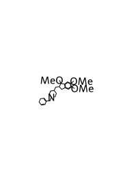 COc1cc2c(cc1OC)C(OC)C(CC1CCN(CC3=CCCC=C3)CC1)C2